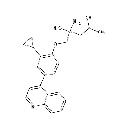 CC(C)CC(C)(N)COc1ccc(-c2ccnc3ccccc23)cc1C1CC1